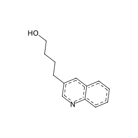 OCCCCc1cnc2ccccc2c1